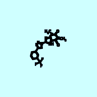 Cn1c(=O)c2[nH]c(-n3cc(-c4cccc(C(F)(F)F)c4)nn3)nc2n(C)c1=O